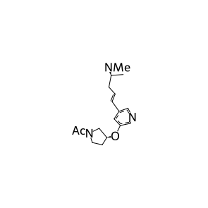 CN[C@@H](C)CC=Cc1cncc(O[C@H]2CCN(C(C)=O)C2)c1